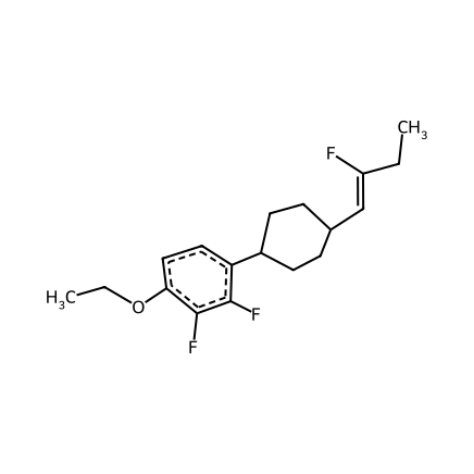 CCOc1ccc(C2CCC(/C=C(\F)CC)CC2)c(F)c1F